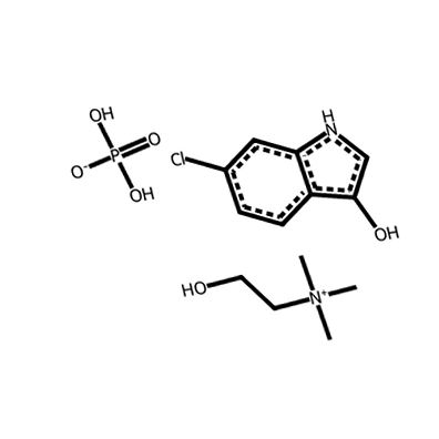 C[N+](C)(C)CCO.O=P([O-])(O)O.Oc1c[nH]c2cc(Cl)ccc12